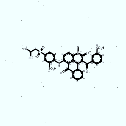 CCCCC(CC)CS(=O)(=O)c1ccc(Nc2ccc3c4c2C(=O)c2ccccc2-c4c(C(=O)c2cccc(S(=O)(=O)O)c2)c(=O)n3C)c(S(=O)(=O)O)c1